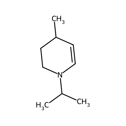 CC1C=CN(C(C)C)CC1